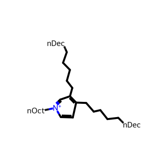 CCCCCCCCCCCCCCCc1cc[n+](CCCCCCCC)cc1CCCCCCCCCCCCCCC